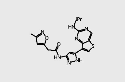 Cc1cc(CC(=O)Nc2cc(-c3csc4cnc(NC(C)C)nc34)[nH]n2)on1